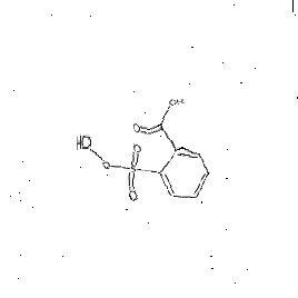 O=C(O)c1ccccc1S(=O)(=O)OO